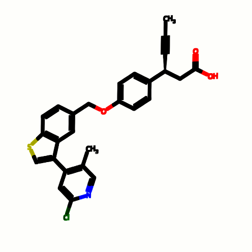 CC#C[C@@H](CC(=O)O)c1ccc(OCc2ccc3scc(-c4cc(Cl)ncc4C)c3c2)cc1